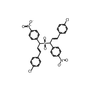 O=[N+]([O-])c1ccc(C(C=Cc2ccc(Cl)cc2)S(=O)(=O)C(C=Cc2ccc(Cl)cc2)c2ccc([N+](=O)[O-])cc2)cc1